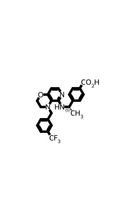 C[C@H](Nc1nccc2c1N(Cc1cccc(C(F)(F)F)c1)CCO2)c1ccc(C(=O)O)cc1